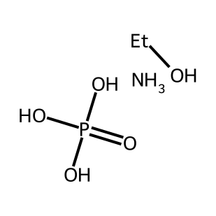 CCO.N.O=P(O)(O)O